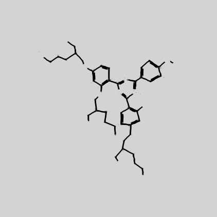 CCCCC(CC)CCc1ccc(-c2nc(-c3ccc(OC)cc3)nc(-c3ccc(OCC(CC)CCCC)cc3OCC(CC)CCCC)n2)c(O)c1